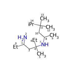 CCC(N)CC(C)(CC)NC(C)CC(C)(C)C(C)C